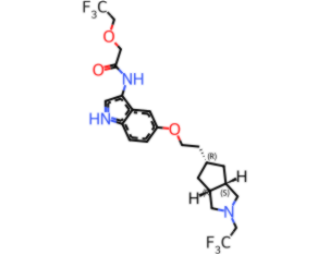 O=C(COCC(F)(F)F)Nc1c[nH]c2ccc(OCC[C@@H]3C[C@@H]4CN(CC(F)(F)F)C[C@@H]4C3)cc12